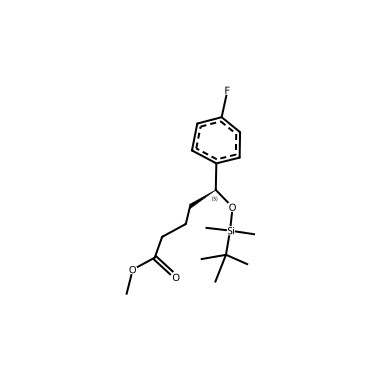 COC(=O)CCC[C@H](O[Si](C)(C)C(C)(C)C)c1ccc(F)cc1